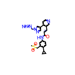 CS(=O)(=O)Cc1cc(NC(=O)/C=C/c2cnccc2-c2cnn(CN=[N+]=[N-])c2)ccc1C1CC1